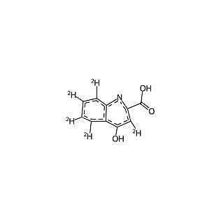 [2H]c1c([2H])c([2H])c2c(O)c([2H])c(C(=O)O)nc2c1[2H]